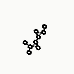 C1=Cc2c(c3cc(-c4ccc5c(c4)c4ccccc4n5-c4cccc(-c5ccccc5)c4)ccc3n2-c2cc(-c3ccccc3)cc(-c3ccccc3)c2)CC1